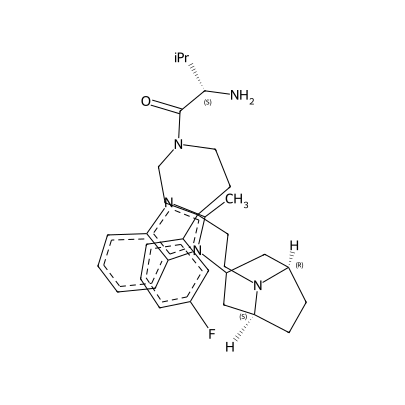 Cc1nc2ccccc2n1C1C[C@H]2CC[C@@H](C1)N2CCC1(c2cccc(F)c2)CCN(C(=O)[C@@H](N)C(C)C)CC1